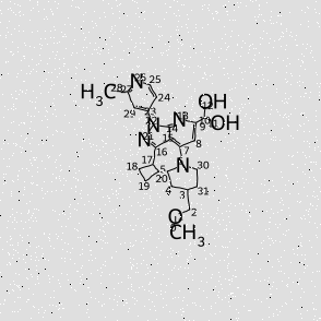 COCC1CCN(c2cc(C(O)O)nc3c2c(C2CCC2)nn3-c2ccnc(C)c2)CC1